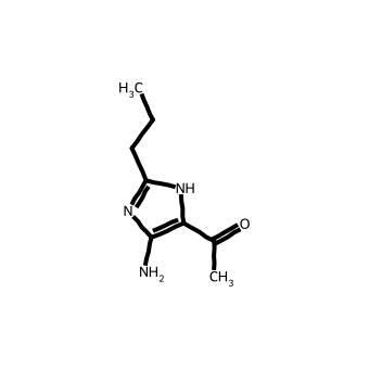 CCCc1nc(N)c(C(C)=O)[nH]1